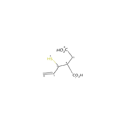 C=CC(S)C(CC(=O)O)C(=O)O